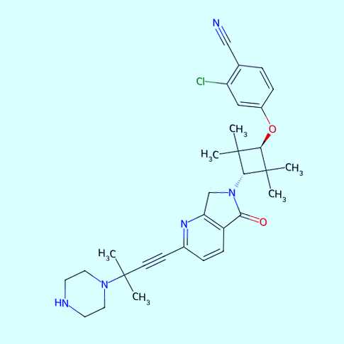 CC(C)(C#Cc1ccc2c(n1)CN([C@H]1C(C)(C)[C@H](Oc3ccc(C#N)c(Cl)c3)C1(C)C)C2=O)N1CCNCC1